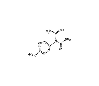 COC(=O)N(C(=N)N)c1ccc(C(=O)O)cc1